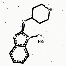 Br.Cn1/c(=N\C2CCNCC2)sc2ccccc21